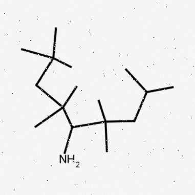 CC(C)CC(C)(C)C(N)C(C)(C)CC(C)(C)C